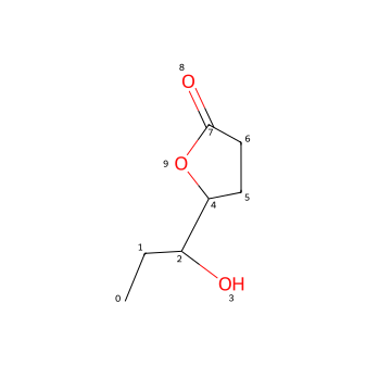 CCC(O)C1CCC(=O)O1